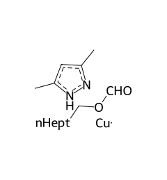 CCCCCCCCOC=O.Cc1cc(C)[nH]n1.[Cu]